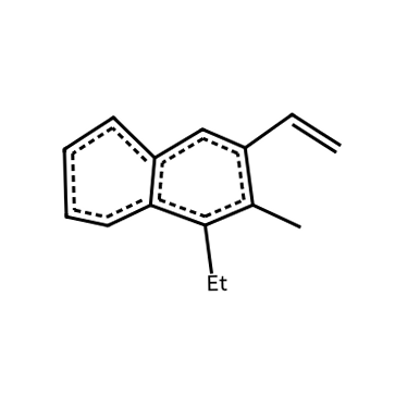 C=Cc1cc2ccccc2c(CC)c1C